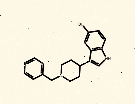 Brc1ccc2[nH]cc(C3CCN(Cc4ccccc4)CC3)c2c1